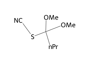 [CH2]CCC(OC)(OC)SC#N